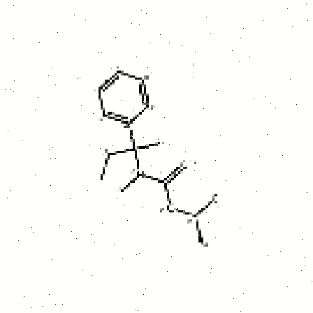 [CH2]C(CC)(c1ccccc1)N(C)C(=O)O[C@H](C)Cl